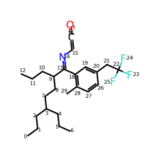 CCCC(CCC)CCC(CCC)/C(=N/C=C=O)c1cc(CC(F)(F)F)ccc1C